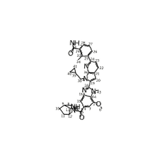 COc1cc(C(=O)N2CC3CCC2[C@@H]3N)cc2nc(-c3cc4ccc(-c5cccc(C(N)=O)c5C)nc4n3CC3CC3)n(C)c12